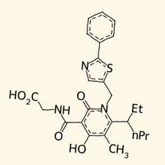 CCCC(CC)c1c(C)c(O)c(C(=O)NCC(=O)O)c(=O)n1Cc1cnc(-c2ccccc2)s1